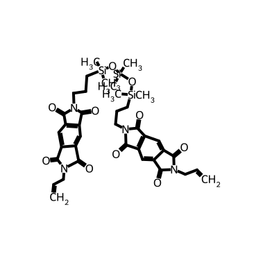 C=CCn1c(=O)c2cc3c(=O)n(CCC[Si](C)(C)O[Si](C)(C)O[Si](C)(C)CCCn4c(=O)c5cc6c(=O)n(CC=C)c(=O)c6cc5c4=O)c(=O)c3cc2c1=O